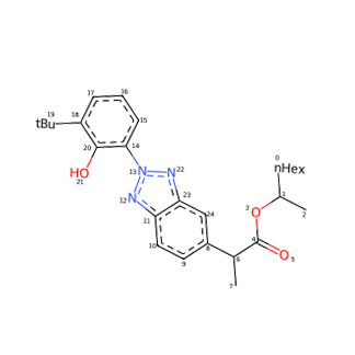 CCCCCCC(C)OC(=O)C(C)c1ccc2nn(-c3cccc(C(C)(C)C)c3O)nc2c1